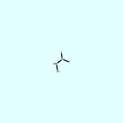 CCNP(I)I